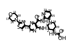 Nc1ncc(-c2csc(N3CCOCC3)n2)nc1C(=O)Nc1ncccc1N1CCC(NC(=O)O)CC1